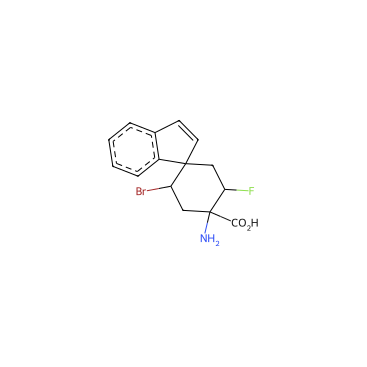 NC1(C(=O)O)CC(Br)C2(C=Cc3ccccc32)CC1F